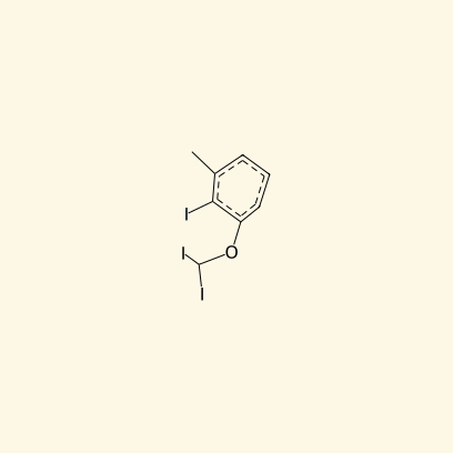 Cc1cccc(OC(I)I)c1I